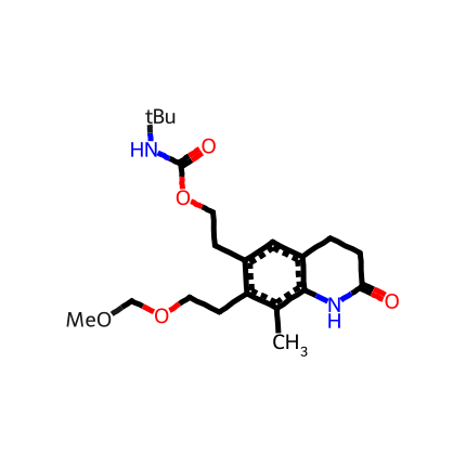 COCOCCc1c(CCOC(=O)NC(C)(C)C)cc2c(c1C)NC(=O)CC2